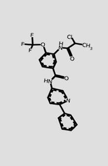 CC(Cl)C(=O)Nc1cc(C(=O)Nc2ccc(-c3ccccc3)nc2)ccc1OC(F)(F)F